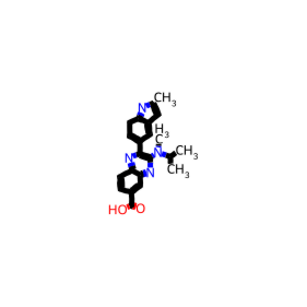 CC1=CC2=CC(c3nc4ccc(C(=O)O)cc4nc3N(C)C(C)C)=CCC2=N1